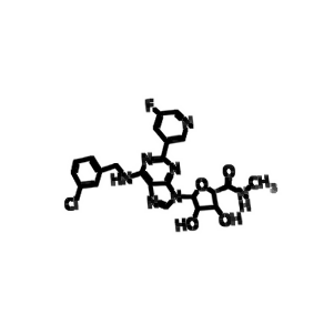 CNC(=O)[C@@H]1OC(n2cnc3c(NCc4cccc(Cl)c4)nc(-c4cncc(F)c4)nc32)C(O)C1O